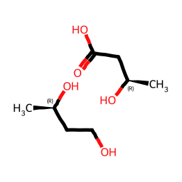 C[C@@H](O)CC(=O)O.C[C@@H](O)CCO